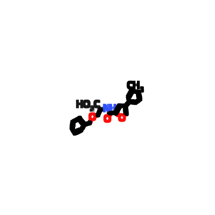 Cc1cccc(-c2coc(C(=O)N[C@@H](COCc3ccccc3)C(=O)O)c2)c1